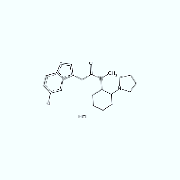 CN(C(=O)Cc1csc2ccc(Cl)cc12)C1CCCCC1N1CCCC1.Cl